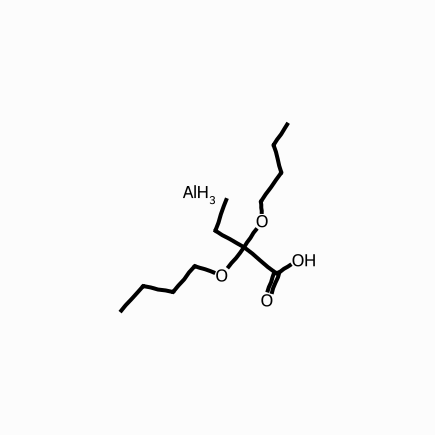 CCCCOC(CC)(OCCCC)C(=O)O.[AlH3]